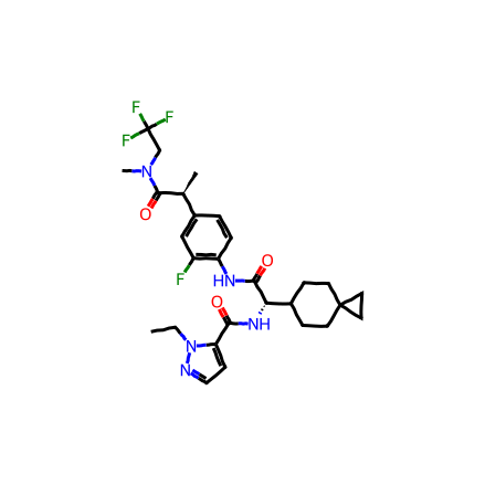 CCn1nccc1C(=O)N[C@H](C(=O)Nc1ccc([C@H](C)C(=O)N(C)CC(F)(F)F)cc1F)C1CCC2(CC1)CC2